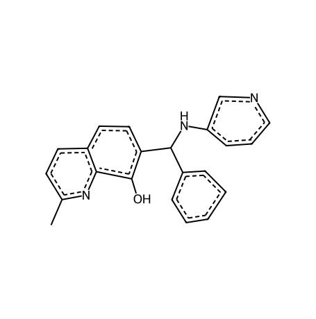 Cc1ccc2ccc(C(Nc3cccnc3)c3ccccc3)c(O)c2n1